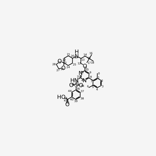 Cc1cccc(C)c1-c1cc(OCC(CC(C)(C)C)NC2CCC3(CC2)OCCO3)nc(NS(=O)(=O)c2cccc(C(=O)O)c2)n1